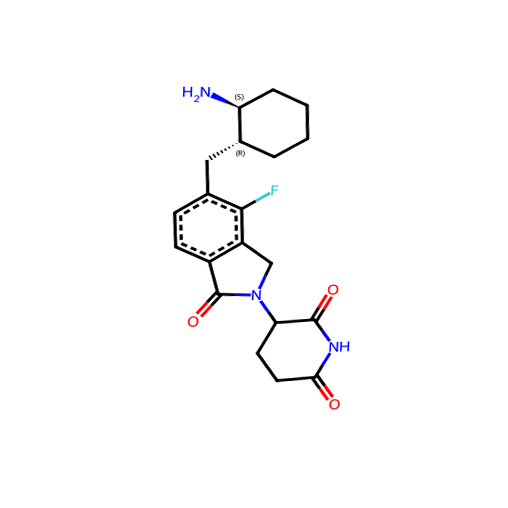 N[C@H]1CCCC[C@@H]1Cc1ccc2c(c1F)CN(C1CCC(=O)NC1=O)C2=O